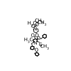 CCCc1nc(Cc2cccc(Oc3ccccc3)c2)c(C)c(C(=O)OC2CCN(C(=O)OC(C)(C)C)CC2)c1OCc1ccccc1